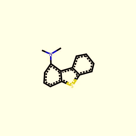 CN(C)c1cccc2sc3ccccc3c12